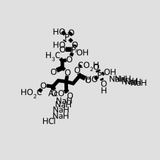 CC(=O)OC(=O)C(CC(=O)OC(=O)O)(CC(=O)OC(=O)O)OC(=O)C(C)OP(=O)(O)OP(=O)(O)O.Cl.O=P(O)(O)O.[NaH].[NaH].[NaH].[NaH].[NaH].[NaH].[NaH].[NaH].[NaH]